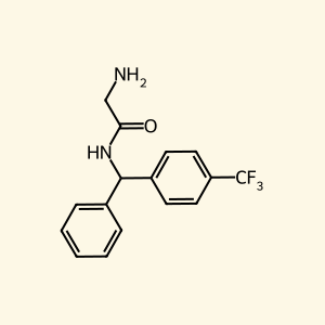 NCC(=O)NC(c1ccccc1)c1ccc(C(F)(F)F)cc1